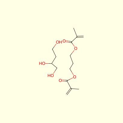 C=C(C)C(=O)OCCCOC(=O)C(=C)C.OCCC(O)CO